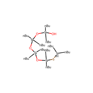 CCCC[SiH](CCCC)S[Si](CCCC)(CCCC)O[Si](CCCC)(CCCC)O[Si](CCCC)(CCCC)O[Si](O)(CCCC)CCCC